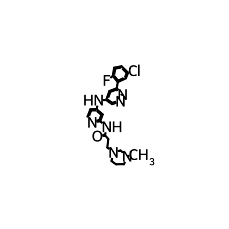 CN1CCCN(CCC(=O)Nc2cc(Nc3cnnc(-c4cc(Cl)ccc4F)c3)ccn2)C1